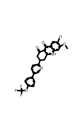 COc1cc2[nH]c3c(c(=O)c2cc1Cl)C(=O)CC(c1ccc(-c2ccc(OC(F)(F)F)cc2)cn1)C3